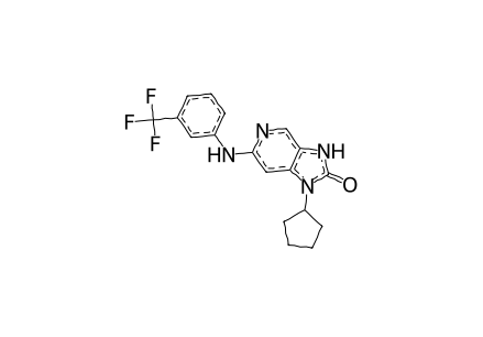 O=c1[nH]c2cnc(Nc3cccc(C(F)(F)F)c3)cc2n1C1CCCC1